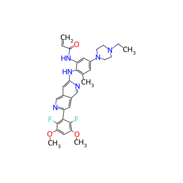 C=CC(=O)Nc1cc(N2CCN(CC)CC2)cc(C)c1Nc1cc2cnc(-c3c(F)c(OC)cc(OC)c3F)cc2cn1